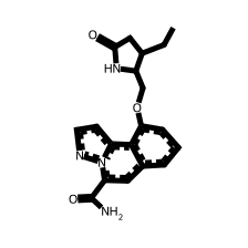 CCC1CC(=O)NC1COc1cccc2cc(C(N)=O)n3nccc3c12